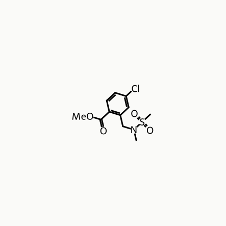 COC(=O)c1ccc(Cl)cc1CN(C)S(C)(=O)=O